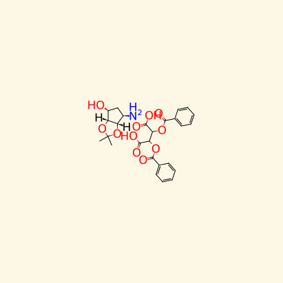 CC1(C)O[C@@H]2[C@H](O1)[C@@H](O)C[C@H]2N.O=C(OC(C(=O)O)C(OC(=O)c1ccccc1)C(=O)O)c1ccccc1